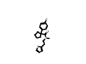 CN(CCc1cccs1)C(=O)C1(c2ccc(Cl)cc2)CCCC1